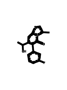 Cc1csc2cc(C(C)O)c(-c3cccc(F)c3)c(=O)n12